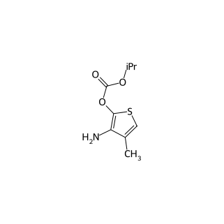 Cc1csc(OC(=O)OC(C)C)c1N